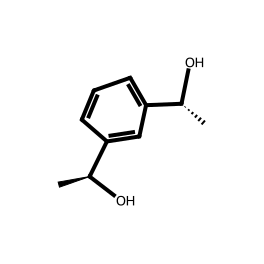 C[C@H](O)c1cccc([C@@H](C)O)c1